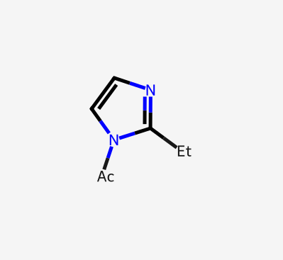 CCc1nccn1C(C)=O